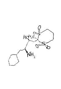 CC1(C[C@H](O)[C@@H](N)CC2CCCCC2)S(=O)(=O)CCCS1(=O)=O